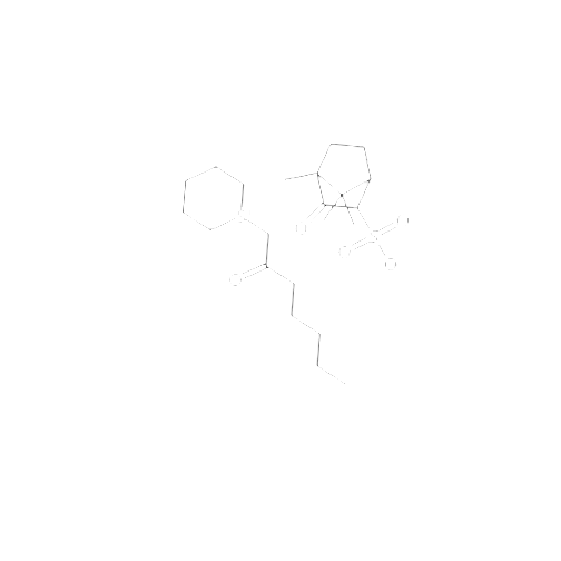 CC12CCC(C(S(=O)(=O)[O-])C1=O)C2(C)C.CCCCCC(=O)C[S+]1CCCCC1